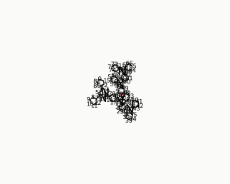 c1ccc(-c2cc(-c3ccccc3)nc(-c3ccc(-n4c5ccccc5c5c4ccc4c6ccccc6n(-c6ccccc6)c45)c(-c4cccc(-n5c6ccccc6c6c5ccc5c7ccccc7n(-c7ccccc7)c56)c4)c3)n2)cc1